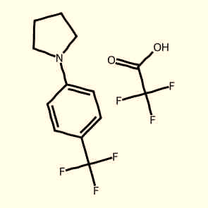 FC(F)(F)c1ccc(N2CCCC2)cc1.O=C(O)C(F)(F)F